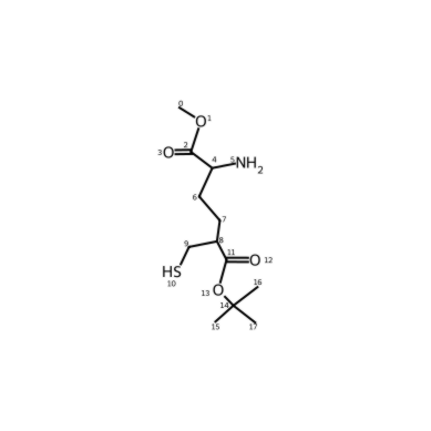 COC(=O)C(N)CCC(CS)C(=O)OC(C)(C)C